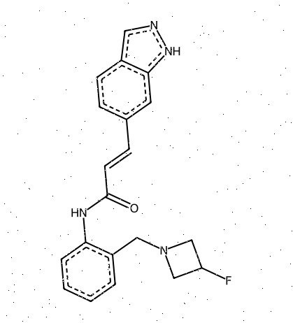 O=C(/C=C/c1ccc2cn[nH]c2c1)Nc1ccccc1CN1CC(F)C1